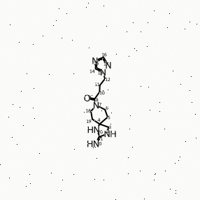 N=C1NCC2(CCN(C(=O)CCCn3cncn3)CC2)N1